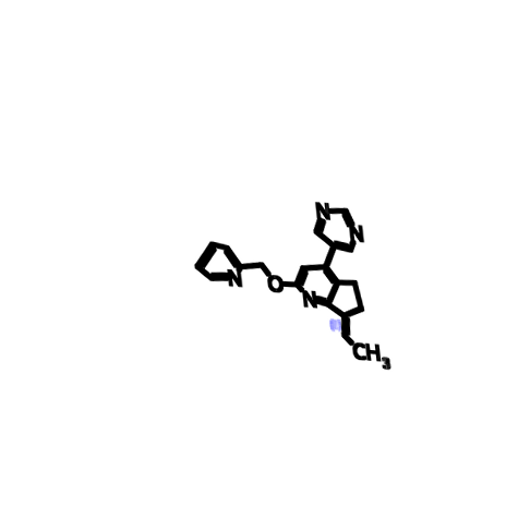 C/C=C1\CCc2c(-c3cncnc3)cc(OCc3ccccn3)nc21